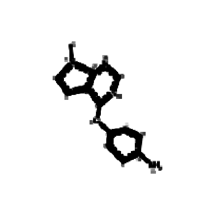 Cn1ccc2c(Oc3ccc(N)cc3)ncnc21